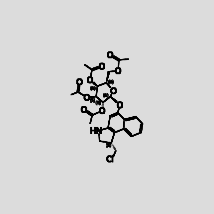 CC(=O)OC[C@H]1O[C@@H](Oc2cc3c(c4ccccc24)[C@H](CCl)CN3)[C@H](OC(C)=O)[C@@H](OC(C)=O)[C@H]1OC(C)=O